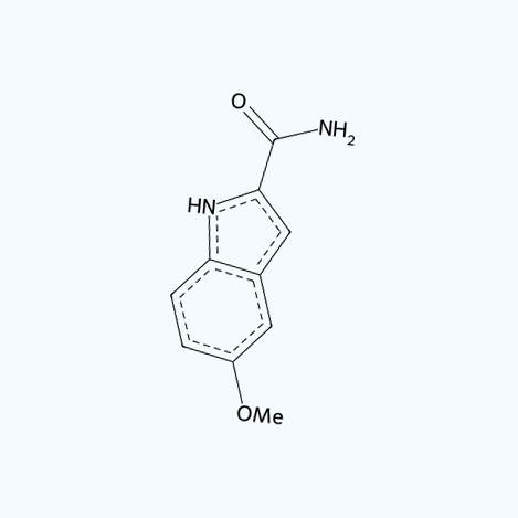 [CH2]Oc1ccc2[nH]c(C(N)=O)cc2c1